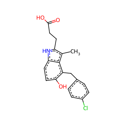 Cc1c(CCC(=O)O)[nH]c2ccc(O)c(Cc3ccc(Cl)cc3)c12